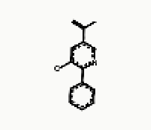 C=C(C)c1cnc(-c2ccccc2)c(Cl)c1